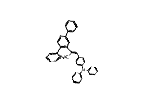 N#CC(=Cc1ccc(N(c2ccccc2)c2ccccc2)cc1)c1cc(-c2ccccc2)ccc1-c1ccccc1